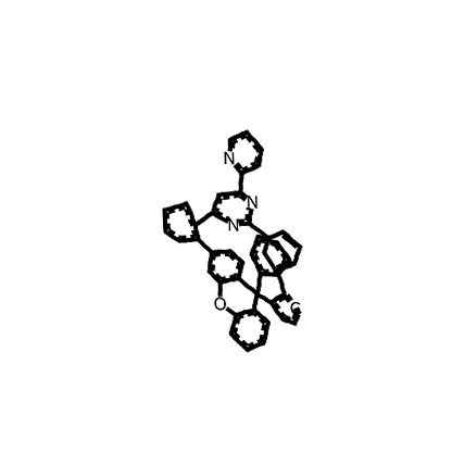 C1=CCC(c2nc(-c3ccccn3)cc(-c3ccccc3-c3ccc4c(c3)Oc3ccccc3C43c4ccccc4-c4ccccc43)n2)C=C1